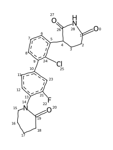 O=C1CCC(c2cccc(-c3ccc(N4CCCCC4=O)c(F)c3)c2Cl)C(=O)N1